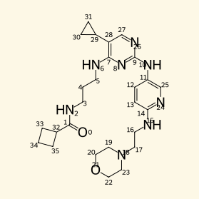 O=C(NCCCNc1nc(Nc2ccc(NCCN3CCOCC3)nc2)ncc1C1CC1)C1CCC1